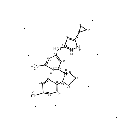 Nc1nc(Nc2cc(C3CC3)[nH]n2)cc(N2CCCC2c2ccc(Cl)cc2)n1